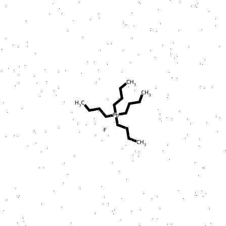 CCC[CH2][Pb]([CH2]CCC)([CH2]CCC)[CH2]CCC.[F]